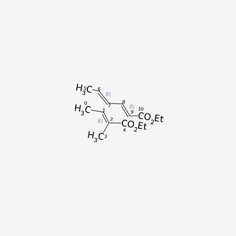 C/C=C(\C)C(=O)OCC.C/C=C/C=C/C(=O)OCC